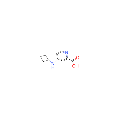 O=C(O)c1cc(NC2CCC2)ccn1